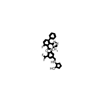 Cn1cnnc1-c1c(-c2ccccc2)ccc(F)c1-c1nc2cc(CNC3CCCC3O)cc(C(F)F)c2o1